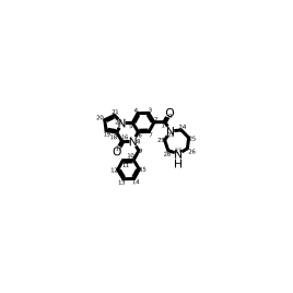 O=C(c1ccc2c(c1)n(Cc1ccccc1)c(=O)c1cccn12)N1CCCNCC1